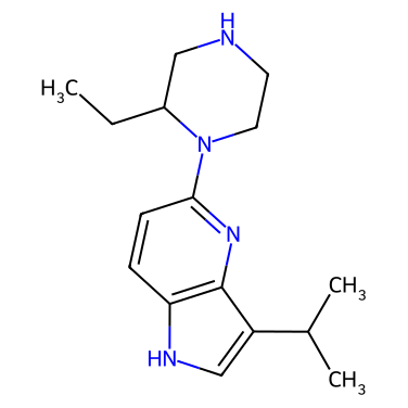 CCC1CNCCN1c1ccc2[nH]cc(C(C)C)c2n1